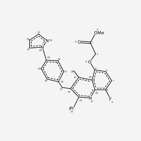 COC(=O)COc1ccc(F)c2nc(C(C)C)c(Cc3ccc(-n4cccn4)cc3)c(C)c12